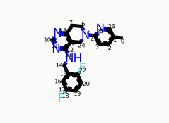 Cc1ccc(N2CCc3ncnc(NCc4cc(F)ccc4F)c3C2)nc1